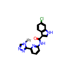 CC(C)n1cnnc1-c1cccc(NC(=O)c2c[nH]c3cc(Cl)ccc23)n1